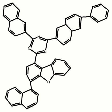 C1=CC2C=C(c3nc(-c4ccc5ccccc5c4)nc(-c4ccc(-c5cccc6ccccc56)c5oc6ccccc6c45)n3)C=CC2C=C1c1ccccc1